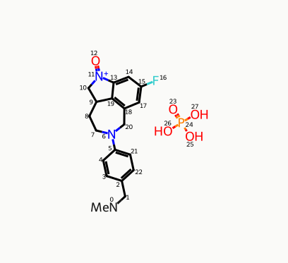 CNCc1ccc(N2CCC3C[N+](=O)c4cc(F)cc(c43)C2)cc1.O=P(O)(O)O